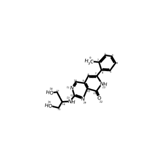 Cc1ccccc1-c1cc2cnc(NC(CO)CO)nc2c(=O)[nH]1